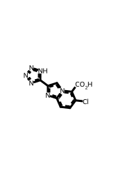 O=C(O)c1c(Cl)ccc2nc(-c3nnn[nH]3)cn12